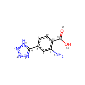 Nc1cc(-c2nnn[nH]2)ccc1C(=O)O